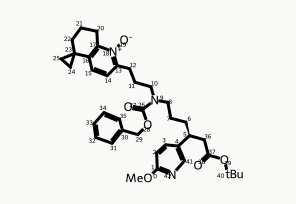 COc1ccc([C@@H](CCCN(CCCc2ccc3c([n+]2[O-])CCCC32CC2)C(=O)OCc2ccccc2)CC(=O)OC(C)(C)C)cn1